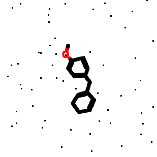 COc1ccc(CC2=CCCC=C2)cc1